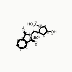 CC(C)(C)[C@@]1(CN2C(=O)c3ccccc3C2=O)C[C@H](O)CN1C(=O)O